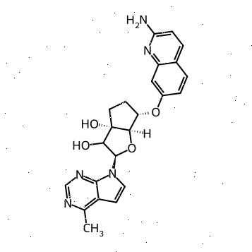 Cc1ncnc2c1ccn2[C@@H]1O[C@@H]2[C@@H](Oc3ccc4ccc(N)nc4c3)CC[C@]2(O)C1O